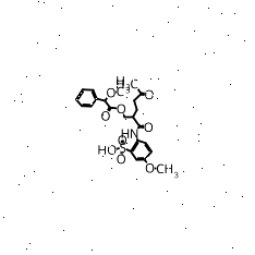 COc1ccc(NC(=O)C(CCC(C)=O)COC(=O)C(OC)c2ccccc2)c(S(=O)(=O)O)c1